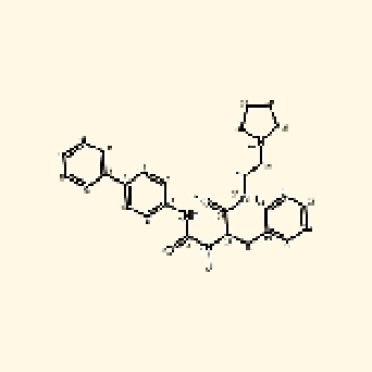 CN(C(=O)Nc1ccc(-c2ccccc2)cc1)C(Cc1ccccc1)C(=O)NCCN1CCCC1